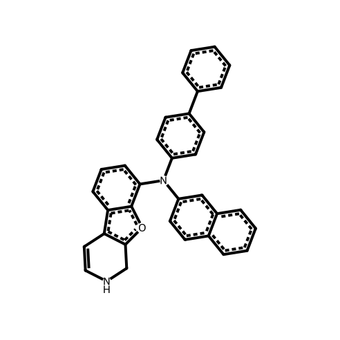 C1=Cc2c(oc3c(N(c4ccc(-c5ccccc5)cc4)c4ccc5ccccc5c4)cccc23)CN1